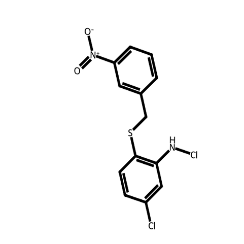 O=[N+]([O-])c1cccc(CSc2ccc(Cl)cc2NCl)c1